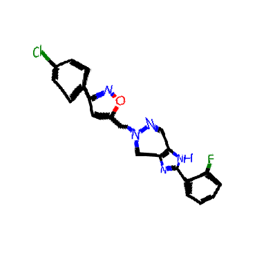 Fc1ccccc1-c1nc2c([nH]1)C=NN(Cc1cc(-c3ccc(Cl)cc3)no1)C2